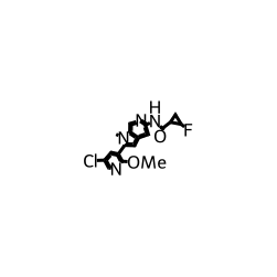 COc1ncc(Cl)cc1-c1cc2cc(NC(=O)C3CC3F)ncc2n1C